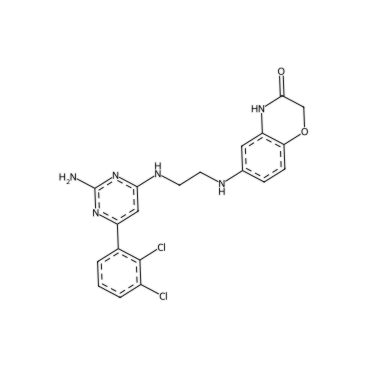 Nc1nc(NCCNc2ccc3c(c2)NC(=O)CO3)cc(-c2cccc(Cl)c2Cl)n1